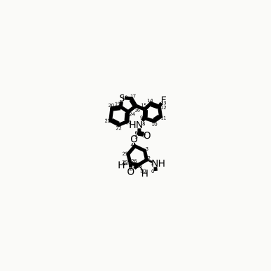 CN[C@@H]1C[C@@H](OC(=O)Nc2ccc(F)cc2-c2csc3ccccc23)C[C@@H]2O[C@@H]21